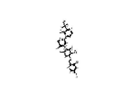 Cc1cnc(-n2ccnc(C(C)(C)C)c2=O)cc1-n1c(C)cc(OCc2ncc(F)cc2Cl)c(Cl)c1=O